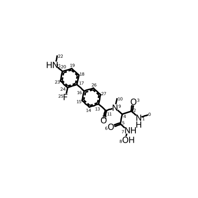 CNC(=O)C(C(=O)NO)N(C)C(=O)c1ccc(-c2ccc(NC)cc2F)cc1